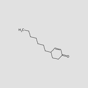 CCCCCCCC1C=CC(=O)CC1